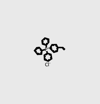 C=Cc1ccc([P+](c2ccccc2)(c2ccccc2)c2ccccc2)cc1.[Cl-]